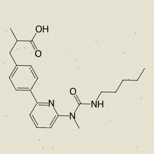 CCCCCNC(=O)N(C)c1cccc(-c2ccc(CC(C)C(=O)O)cc2)n1